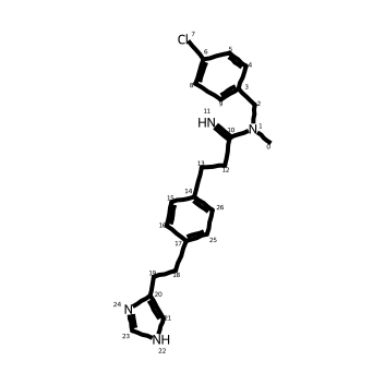 CN(Cc1ccc(Cl)cc1)C(=N)CCc1ccc(CCc2c[nH]cn2)cc1